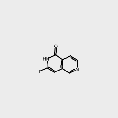 O=c1[nH]c(I)cc2cnccc12